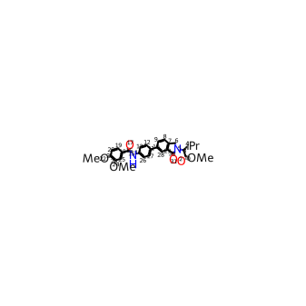 COC(=O)C(C(C)C)N1Cc2ccc(-c3ccc(NC(=O)c4ccc(OC)c(OC)c4)cc3)cc2C1=O